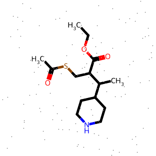 CCOC(=O)C(CSC(C)=O)C(C)C1CCNCC1